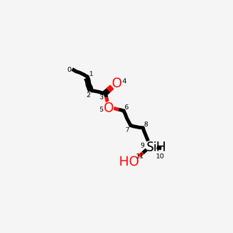 CC=CC(=O)OCCC[SiH](C)O